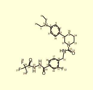 CCN(CC)c1ccc(C2CN(C(=O)NCc3ccc(C(=O)NNC(=O)C(F)(F)F)cc3F)CCS2)cc1